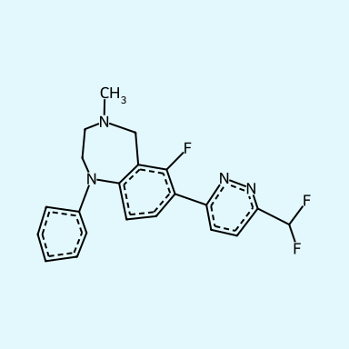 CN1CCN(c2ccccc2)c2ccc(-c3ccc(C(F)F)nn3)c(F)c2C1